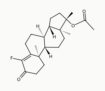 CC(=O)O[C@@]1(C)CC[C@H]2[C@@H]3CCC4=C(F)C(=O)CC[C@]4(C)[C@H]3CC[C@@]21C